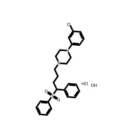 Cl.Cl.O=S(=O)(c1ccccc1)C(CCCN1CCN(c2cccc(Cl)c2)CC1)c1ccccc1